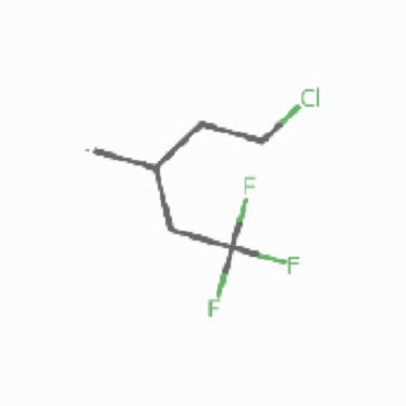 [CH2]C(CCCl)CC(F)(F)F